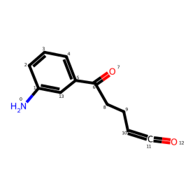 Nc1cccc(C(=O)CCC=C=O)c1